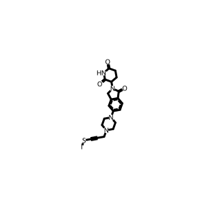 O=C1CCC(N2Cc3cc(N4CCN(CC#CSI)CC4)ccc3C2=O)C(=O)N1